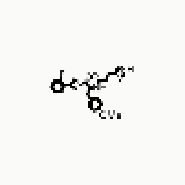 COc1ccc(CC(NC(=O)CCc2c[nH]cn2)C(=O)N2CC(c3ccccc3F)C2)cc1